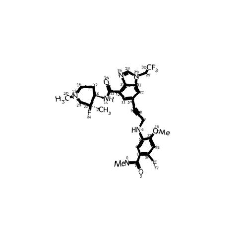 CNC(=O)c1cc(NCC#Cc2cc(C(=O)N[C@@H]3CCN(C)C[C@]3(C)F)c3ncn(CC(F)(F)F)c3c2)c(OC)cc1F